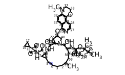 C[C@H]1CC/C=C\C2C[C@@]2(C(=O)NS(=O)(=O)C2CC2)NC(=O)[C@@H]2C[C@@H](Oc3nccc4c5c(ccc34)N(C)CCO5)CN2C(=O)[C@@H](NC(=O)OC(C)(C)C(C)(F)F)[C@H](C)C1